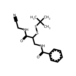 CC(C)(C)SSC(CNC(=O)c1ccccc1)C(=O)NCC#N